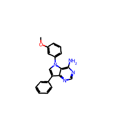 COc1cccc(-n2cc(-c3ccccc3)c3ncnc(N)c32)c1